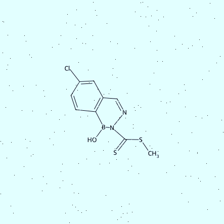 CSC(=S)N1N=Cc2cc(Cl)ccc2B1O